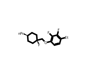 CCC[C@H]1CC[C@](F)(COc2ccc(CC)c(F)c2F)CC1